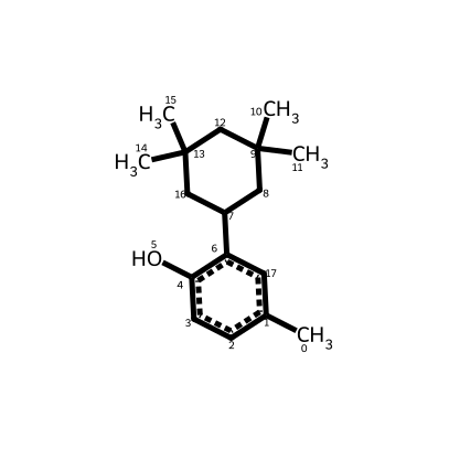 Cc1ccc(O)c(C2CC(C)(C)CC(C)(C)C2)c1